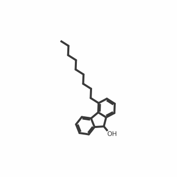 CCCCCCCCCc1cccc2c1-c1ccccc1C2O